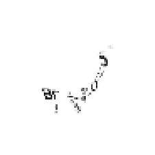 O=S.[Br-].[Li+]